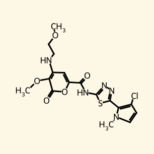 COCCNc1cc(C(=O)Nc2nnc(-c3c(Cl)ccn3C)s2)oc(=O)c1OC